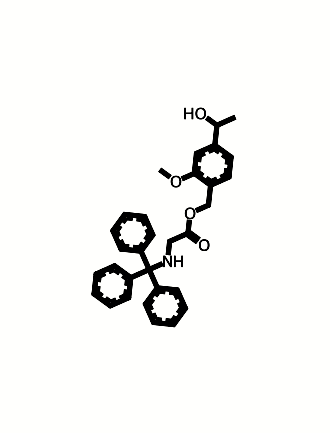 COc1cc(C(C)O)ccc1COC(=O)CNC(c1ccccc1)(c1ccccc1)c1ccccc1